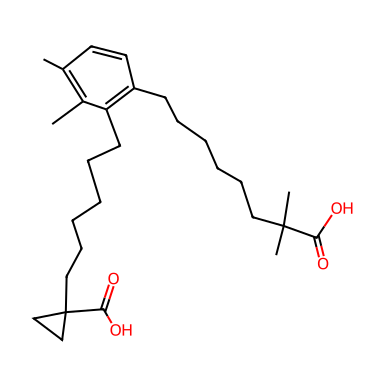 Cc1ccc(CCCCCCC(C)(C)C(=O)O)c(CCCCCCC2(C(=O)O)CC2)c1C